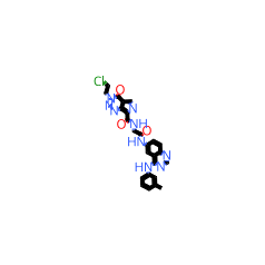 Cc1cccc(Nc2ncnc3ccc(NC(=O)CNC(=O)C4=C5N=NN(CCCl)C(=O)C5C=N4)cc23)c1